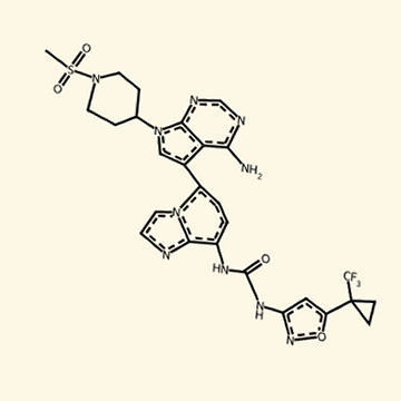 CS(=O)(=O)N1CCC(n2cc(-c3ccc(NC(=O)Nc4cc(C5(C(F)(F)F)CC5)on4)c4nccn34)c3c(N)ncnc32)CC1